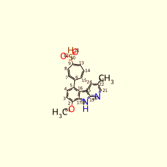 COc1ccc(C2=C=CC([SH](=O)=O)=CC=C2)c2c1[nH]c1ncc(C)cc12